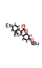 CCc1ccc(-c2cc3ccc(OC(C)(C)C)cc3oc2=O)c(CC)c1